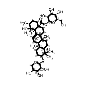 C[C@@H]1CC[C@]2(C(=O)O[C@@H]3O[C@H](CO)[C@@H](O)[C@H](O)[C@H]3O)CC[C@]3(C)C(=CCC4[C@@]5(C)CC[C@H](O[C@@H]6OC[C@H](O)[C@H](O)[C@H]6O)C(C)(C)[C@@H]5CC[C@]43C)[C@@H]2[C@]1(C)O